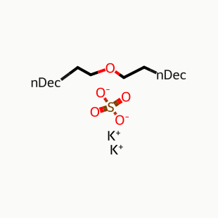 CCCCCCCCCCCCOCCCCCCCCCCCC.O=S(=O)([O-])[O-].[K+].[K+]